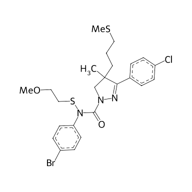 COCCSN(C(=O)N1CC(C)(CCCSC)C(c2ccc(Cl)cc2)=N1)c1ccc(Br)cc1